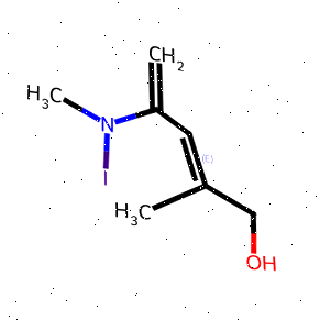 C=C(/C=C(\C)CO)N(C)I